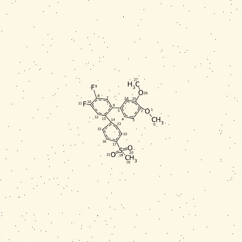 COc1ccc(-c2cc(F)c(F)cc2-c2ccc(S(C)(=O)=O)cc2)cc1OC